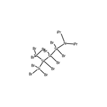 CC(C)N(C(C)C)[Si](Br)(Br)[Si](Br)(Br)[Si](Br)([Si](Br)(Br)Br)[Si](Br)(Br)Br